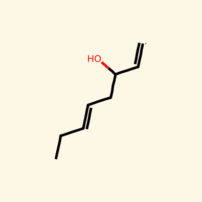 [CH]=CC(O)CC=CCC